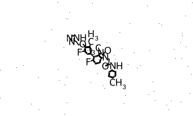 Cc1ccc(NC(=O)Cn2c(=O)n(C)c3c(-c4cc(C)c(OCc5nnc[nH]5)c(F)c4)c(F)ccc32)cc1